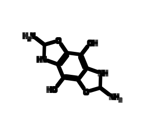 NC1Nc2c(O)c3c(c(O)c2O1)NC(N)O3